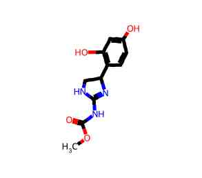 COC(=O)NC1=NC(c2ccc(O)cc2O)CN1